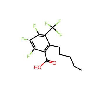 CCCCCc1c(C(=O)O)c(F)c(F)c(F)c1C(F)(F)F